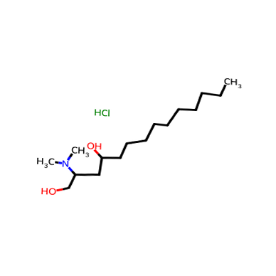 CCCCCCCCCCC(O)CC(CO)N(C)C.Cl